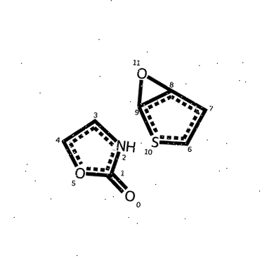 O=c1[nH]cco1.c1cc2c(s1)O2